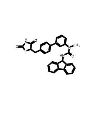 CN(C(=O)NC1c2ccccc2-c2ccccc21)c1cccc(-c2ccc(CC3SC(=O)NC3=O)cc2)c1